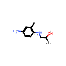 CCC(O)CNc1ccc(N)cc1C